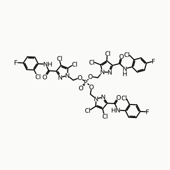 O=C(Nc1ccc(F)cc1Cl)c1nn(COP(=O)(OCn2nc(C(=O)Nc3ccc(F)cc3Cl)c(Cl)c2Cl)OCn2nc(C(=O)Nc3ccc(F)cc3Cl)c(Cl)c2Cl)c(Cl)c1Cl